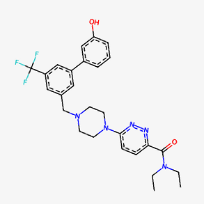 CCN(CC)C(=O)c1ccc(N2CCN(Cc3cc(-c4cccc(O)c4)cc(C(F)(F)F)c3)CC2)nn1